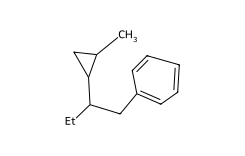 CCC(Cc1ccccc1)C1CC1C